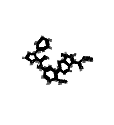 CNC(=O)c1n[nH]c2cc(-c3cc(NC(=O)N4OCC[C@H]4c4ccccc4)cnc3OC)ccc12